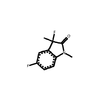 CN1C(=O)C(C)(F)c2cc(F)ccc21